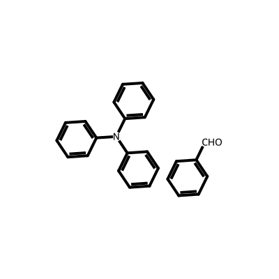 O=Cc1ccccc1.c1ccc(N(c2ccccc2)c2ccccc2)cc1